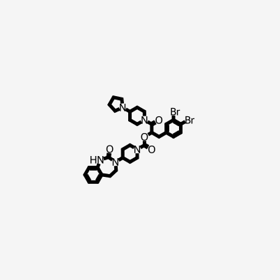 O=C(OC(Cc1ccc(Br)c(Br)c1)C(=O)N1CCC(N2CCCC2)CC1)N1CCC(N2CCc3ccccc3NC2=O)CC1